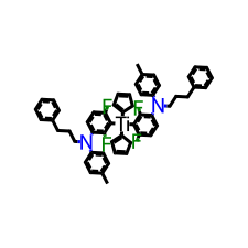 Cc1ccc(N(CCCc2ccccc2)c2ccc(F)[c]([Ti]([C]3=CC=CC3)([C]3=CC=CC3)[c]3c(F)ccc(N(CCCc4ccccc4)c4ccc(C)cc4)c3F)c2F)cc1